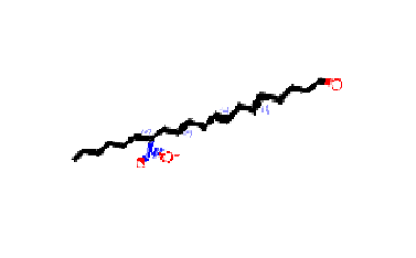 CCCCC/C=C(/C/C=C/C/C=C/C/C=C/CCC[C]=O)[N+](=O)[O-]